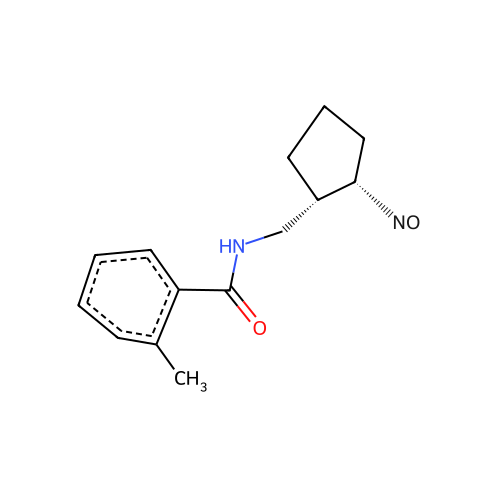 Cc1ccccc1C(=O)NC[C@@H]1CCC[C@@H]1N=O